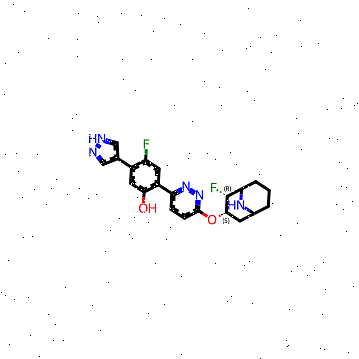 Oc1cc(-c2cn[nH]c2)c(F)cc1-c1ccc(O[C@H]2CC3CCCC(N3)[C@H]2F)nn1